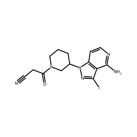 N#CCC(=O)N1CCCC(n2nc(I)c3c(N)nccc32)C1